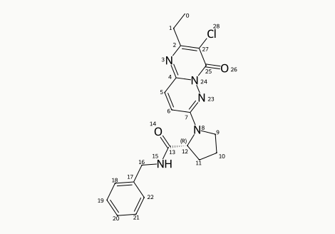 CCc1nc2ccc(N3CCC[C@@H]3C(=O)NCc3ccccc3)nn2c(=O)c1Cl